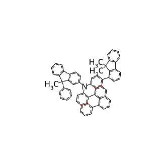 CC1(C)c2ccccc2-c2cccc(-c3ccc(N(c4ccc5c(c4)C(C)(c4ccccc4)c4ccccc4-5)c4ccccc4-c4cccc5cccc(-c6ccccc6)c45)cc3)c21